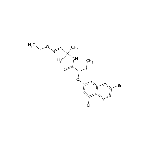 CCON=CC(C)(C)NC(=O)C(Oc1cc(Cl)c2ncc(Br)cc2c1)SC